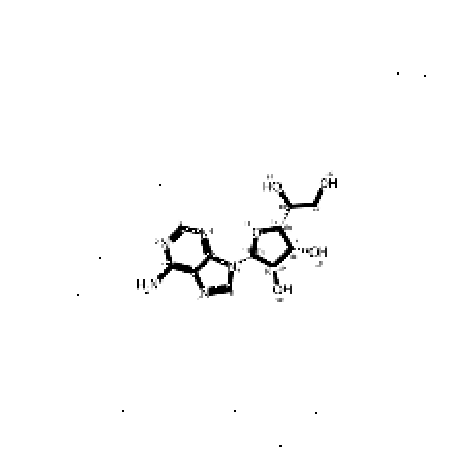 Nc1ncnc2c1ncn2[C@@H]1O[C@H](C(O)CO)[C@H](O)[C@H]1O